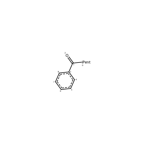 [CH2]CCC(C)C(=O)c1ccccc1